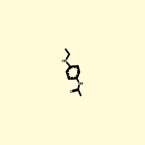 CCNc1ccc(NC(C)=O)cc1